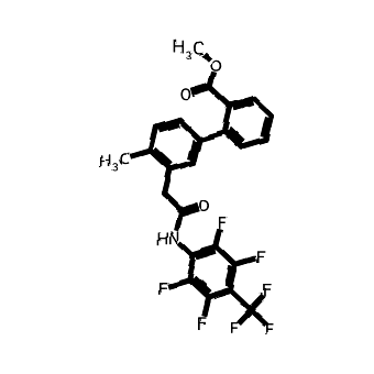 COC(=O)c1ccccc1-c1ccc(C)c(CC(=O)Nc2c(F)c(F)c(C(F)(F)F)c(F)c2F)c1